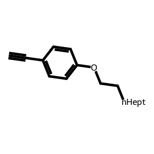 C#Cc1ccc(OCCCCCCCCC)cc1